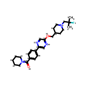 CC(C)(F)CN1CCC(COc2cnc(-c3ccc(C(=O)N4CCCCC4)cc3)cn2)CC1